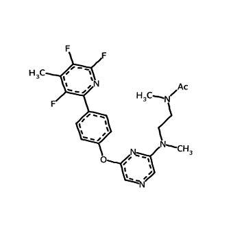 CC(=O)N(C)CCN(C)c1cncc(Oc2ccc(-c3nc(F)c(F)c(C)c3F)cc2)n1